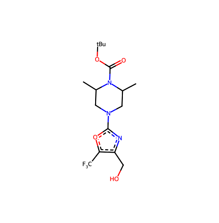 CC1CN(c2nc(CO)c(C(F)(F)F)o2)CC(C)N1C(=O)OC(C)(C)C